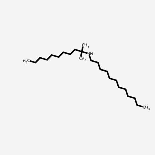 CCCCCCCCCCCCNC(C)(C)CCCCCCCCC